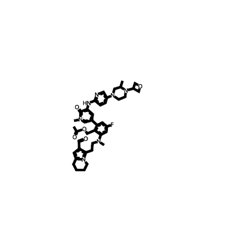 CC(=O)OCc1c(-c2cc(Nc3ccc(N4CCN(C5COC5)C(C)C4)cn3)c(=O)n(C)c2)cc(F)cc1N(C)CCc1c(C=O)cc2n1CCCC2